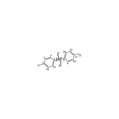 Cc1cc[c]([Hf]([I])([I])[c]2ccc(C)cc2)cc1